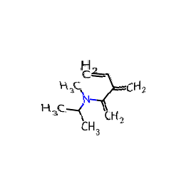 C=CC(=C)C(=C)N(C)C(C)C